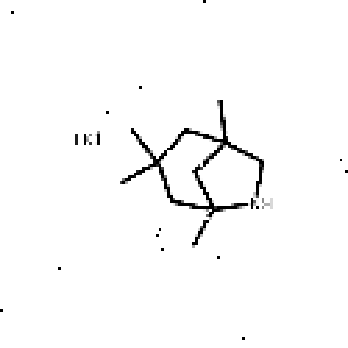 CC1(C)CC2(C)CNC(C)(C1)C2.Cl